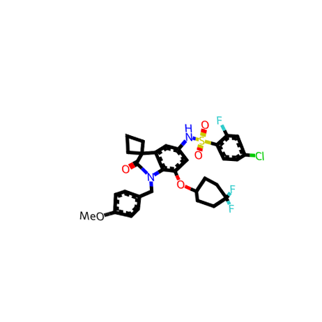 COc1ccc(CN2C(=O)C3(CCC3)c3cc(NS(=O)(=O)c4ccc(Cl)cc4F)cc(OC4CCC(F)(F)CC4)c32)cc1